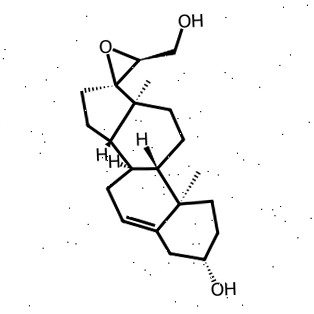 C[C@]12CC[C@H](O)CC1=CC[C@@H]1[C@@H]2CC[C@@]2(C)[C@H]1CC[C@@]21O[C@H]1CO